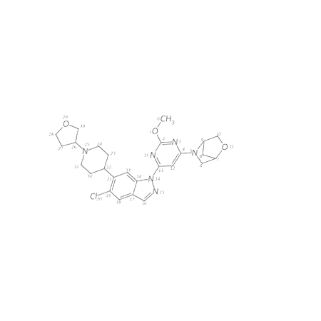 COc1nc(N2CC3CC2CO3)cc(-n2ncc3cc(Cl)c(C4CCN(C5CCOC5)CC4)cc32)n1